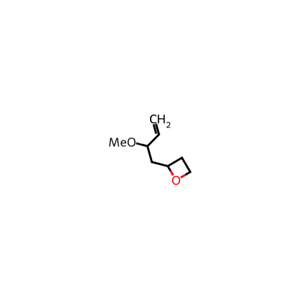 C=CC(CC1CCO1)OC